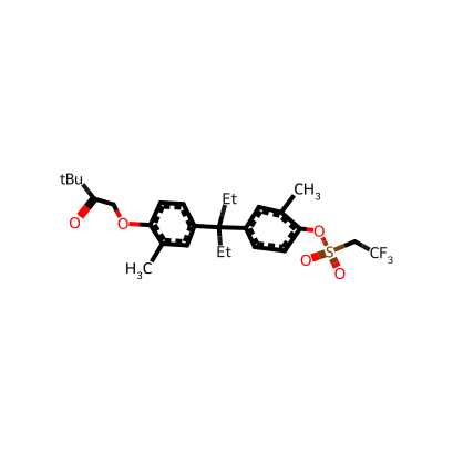 CCC(CC)(c1ccc(OCC(=O)C(C)(C)C)c(C)c1)c1ccc(OS(=O)(=O)CC(F)(F)F)c(C)c1